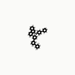 c1ccc(-c2ccc(N(c3ccc(-c4cccc(-c5ccccc5)c4)cc3)c3cc4ccccc4c4ccccc34)cc2)cc1